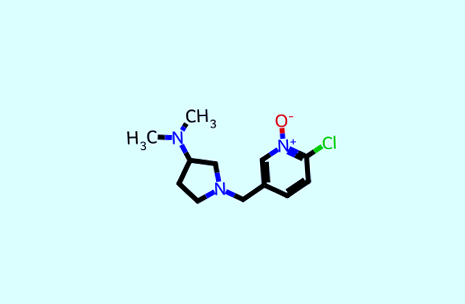 CN(C)C1CCN(Cc2ccc(Cl)[n+]([O-])c2)C1